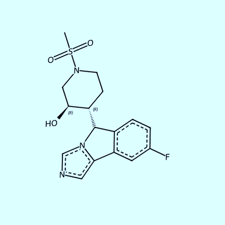 CS(=O)(=O)N1CC[C@H](C2c3ccc(F)cc3-c3cncn32)[C@@H](O)C1